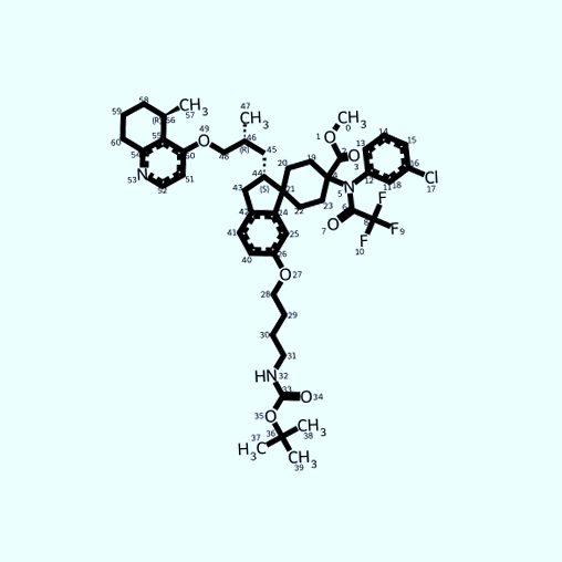 COC(=O)C1(N(C(=O)C(F)(F)F)c2cccc(Cl)c2)CCC2(CC1)c1cc(OCCCCNC(=O)OC(C)(C)C)ccc1C[C@@H]2C[C@@H](C)COc1ccnc2c1[C@H](C)CCC2